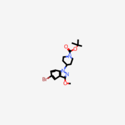 COc1nn(C2CCN(C(=O)OC(C)(C)C)CC2)c2ccc(Br)cc12